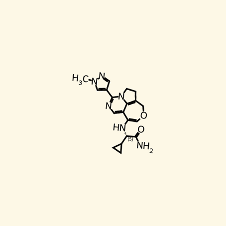 Cn1cc(C2=NC=C3C(N[C@H](C(N)=O)C4CC4)=COCC4=C3N2CC4)cn1